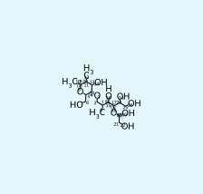 CC(CO[C@@H]1C(CO)O[C@@H](C)[C@@H](C)C1O)[C@@H](O)[C@H](O[C@H](O)CO)C(O)CO